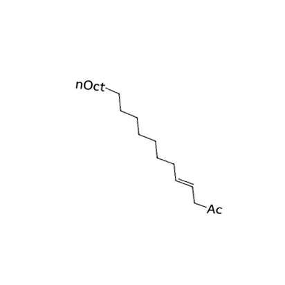 CCCCCCCCCCCCCCCC=CCC(C)=O